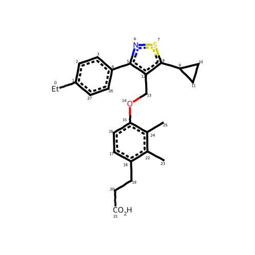 CCc1ccc(-c2nsc(C3CC3)c2COc2ccc(CCC(=O)O)c(C)c2C)cc1